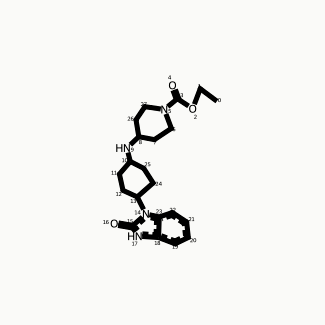 CCOC(=O)N1CCC(NC2CCC(n3c(=O)[nH]c4ccccc43)CC2)CC1